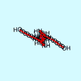 O=S(O)Oc1cc(Nc2nc(Nc3ccc(OCCOCCOCCOCCOCCOCCOCCOCCOCCOCCO)cc3)nc(N3CCNCC3)n2)ccc1/C=C/c1ccc(Nc2nc(Nc3ccc(OCCOCCOCCOCCOCCOCCOCCOCCOCCOCCO)cc3)nc(N3CCNCC3)n2)cc1OS(=O)O